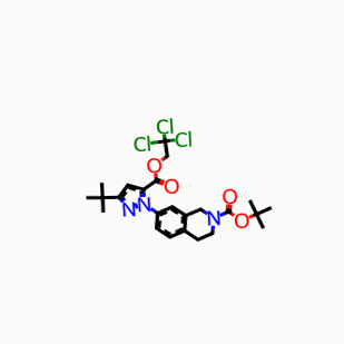 CC(C)(C)OC(=O)N1CCc2ccc(-n3nc(C(C)(C)C)cc3C(=O)OCC(Cl)(Cl)Cl)cc2C1